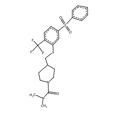 CN(C)C(=O)N1CCC(CSc2cc(S(=O)(=O)c3ccccc3)ccc2C(F)(F)F)CC1